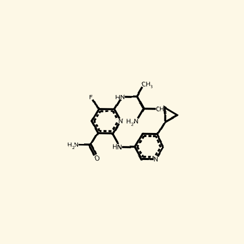 CC(N)C(C)Nc1nc(Nc2cncc(C3CC3)c2)c(C(N)=O)cc1F